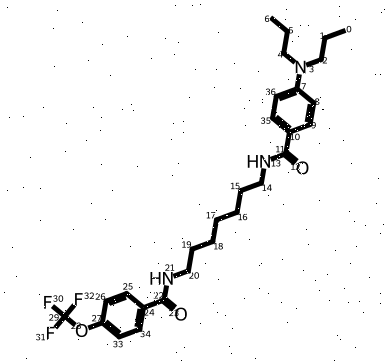 CCCN(CCC)c1ccc(C(=O)NCCCCCCCNC(=O)c2ccc(OC(F)(F)F)cc2)cc1